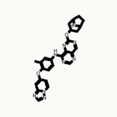 Cc1cc(Nc2ncnc3cnc(OC4CC5CCC(C4)N5)nc23)ccc1Oc1ccn2ncnc2c1